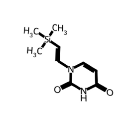 C[Si](C)(C)/C=C/n1ccc(=O)[nH]c1=O